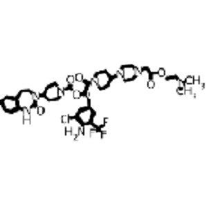 CN(C)CCOC(=O)CN1CCN(C2CCN(C(=O)[C@@H](Cc3cc(Cl)c(N)c(C(F)(F)F)c3)OC(=O)N3CCC(N4CCc5ccccc5NC4=O)CC3)CC2)CC1